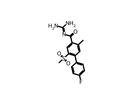 Cc1cc(-c2ccc(F)cc2)c(S(C)(=O)=O)cc1C(=O)N=C(N)N